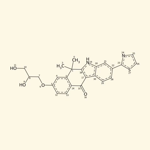 CC1(C)c2cc(OCC(O)CO)ccc2C(=O)c2c1[nH]c1cc(-c3nccs3)ccc21